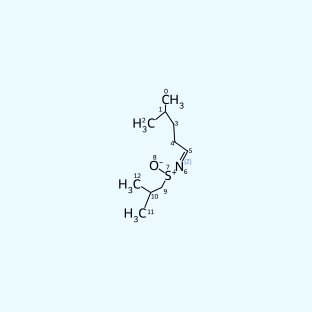 CC(C)CC/C=N\[S+]([O-])CC(C)C